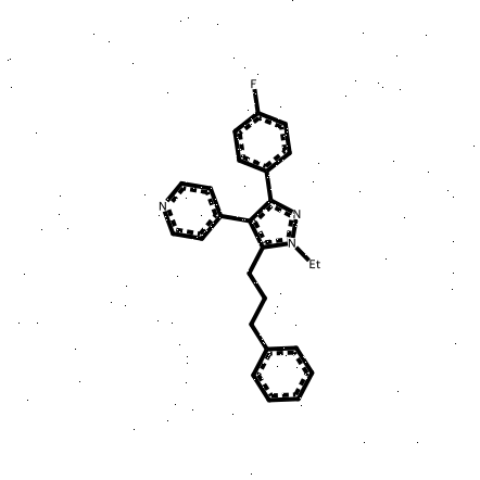 CCn1nc(-c2ccc(F)cc2)c(-c2ccncc2)c1CCCc1ccccc1